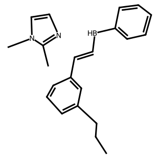 CCCc1cccc(C=CBc2ccccc2)c1.Cc1nccn1C